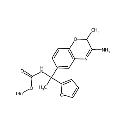 CC1Oc2ccc(C(C)(NC(=O)OC(C)(C)C)c3ccco3)cc2N=C1N